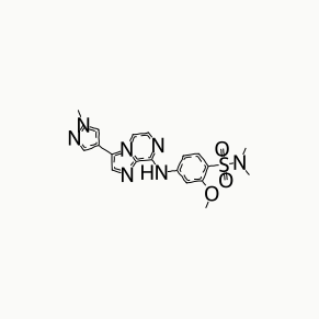 COc1cc(Nc2nccn3c(-c4cnn(C)c4)cnc23)ccc1S(=O)(=O)N(C)C